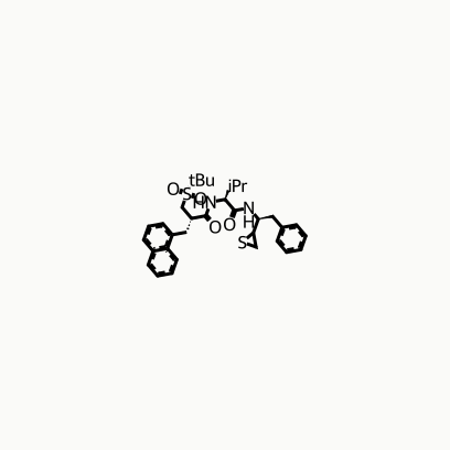 CC(C)[C@H](NC(=O)[C@H](Cc1cccc2ccccc12)CS(=O)(=O)C(C)(C)C)C(=O)N[C@@H](Cc1ccccc1)C1CS1